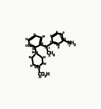 CN(c1ccnc(N)n1)c1cccnc1N1CCN(C(=O)O)CC1